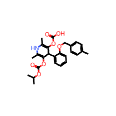 CC1=C(OC(=O)O)C(c2ccccc2OCc2ccc(C)cc2)C(OC(=O)OC(C)C)=C(C)N1